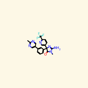 Cc1ncc(-c2cccc(C3(c4ccc(C(F)(F)F)nc4)N=C(N)N(C)C3=O)c2)cn1